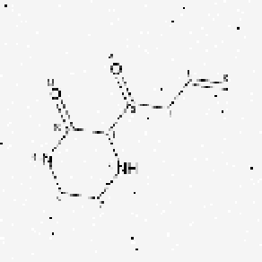 C=CCC(=O)C1NCC[N]C1=O